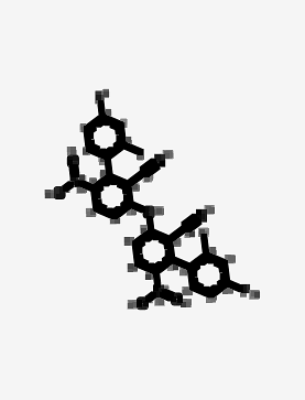 Cc1cc(F)ccc1-c1c([N+](=O)[O-])ccc(Oc2ccc([N+](=O)[O-])c(-c3ccc(F)cc3C)c2C#N)c1C#N